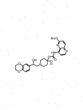 COc1ccc2nccc(NC(=O)OC3(O)CCN(C[C@H](O)c4ccc5c(c4)OCCO5)CC3)c2n1